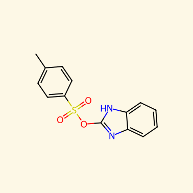 Cc1ccc(S(=O)(=O)Oc2nc3ccccc3[nH]2)cc1